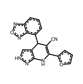 N#CC1=C(c2ccco2)Nc2n[nH]cc2C1c1cccc2nonc12